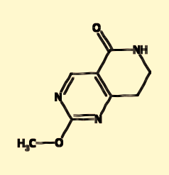 COc1ncc2c(n1)CCNC2=O